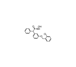 O=C(NO)C(c1ccccc1)c1cccc(OCc2ccccc2Cl)c1